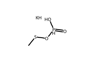 CSO[PH](=O)O.[KH]